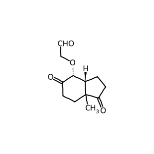 CC12CCC(=O)[C@H](OCC=O)[C@@H]1CCC2=O